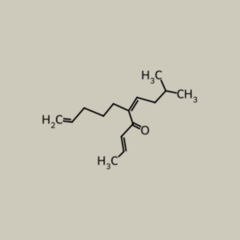 C=CCCC/C(=C/CC(C)C)C(=O)/C=C/C